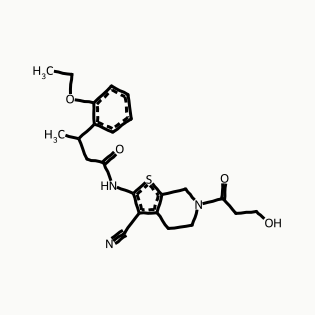 CCOc1ccccc1C(C)CC(=O)Nc1sc2c(c1C#N)CCN(C(=O)CCO)C2